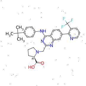 CC(C)(C)c1ccc(Nc2nc(CN3CCC[C@@H]3C(=O)O)nc3cc(-c4ncccc4C(F)(F)F)ccc23)cc1